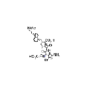 CNCCCn1ccc2c1ccc[n+]2CC1=C(C(=O)O)N2C(=O)C(NC(=O)/C(=N\OCC(=O)O)c3nc(N)sc3Br)C2SC1